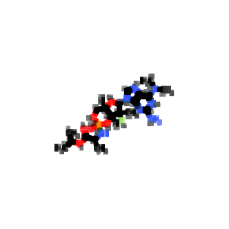 CC(C)OC(=O)[C@H](C)NP1(=O)OC[C@H]2O[C@@H](n3cnc4c(N(C)C)nc(N)nc43)[C@](C)(F)[C@@H]2O1